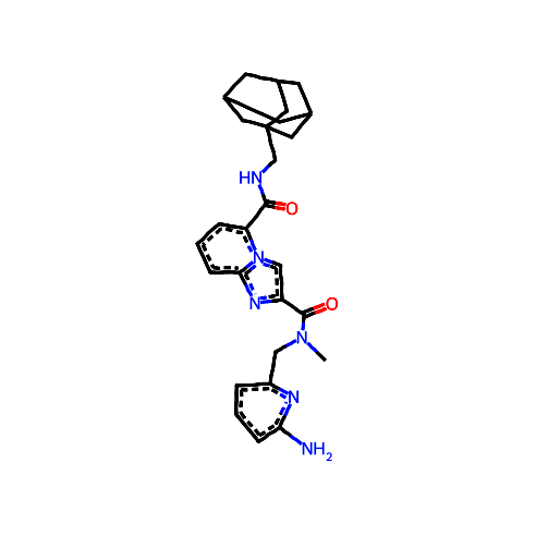 CN(Cc1cccc(N)n1)C(=O)c1cn2c(C(=O)NCC34CC5CC(CC(C5)C3)C4)cccc2n1